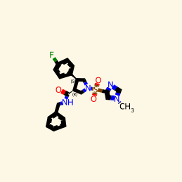 Cn1cnc(S(=O)(=O)N2C[C@H](C(=O)NCc3ccccc3)[C@@H](c3ccc(F)cc3)C2)c1